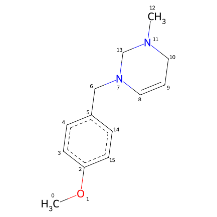 COc1ccc(CN2C=CCN(C)C2)cc1